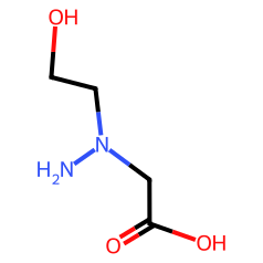 NN(CCO)CC(=O)O